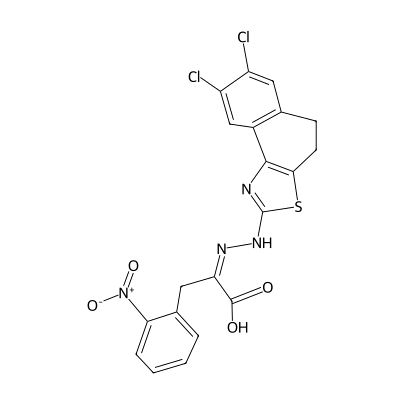 O=C(O)C(Cc1ccccc1[N+](=O)[O-])=NNc1nc2c(s1)CCc1cc(Cl)c(Cl)cc1-2